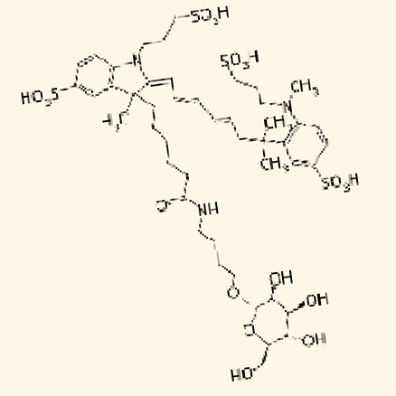 CN(CCCS(=O)(=O)O)c1ccc(S(=O)(=O)O)cc1C(C)(C)C/C=C/C=C/C=C1/N(CCCS(=O)(=O)O)c2ccc(S(=O)(=O)O)cc2C1(C)CCCCCC(=O)NCCCCO[C@H]1O[C@H](CO)[C@@H](O)[C@H](O)[C@@H]1O